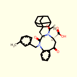 CC(=O)N1[C@H](CC23CC4CC(CC(C4)C2)C3)C(=O)N(Cc2cccc(C)c2)c2ccccc2C(=O)C[C@H]1C(=O)O